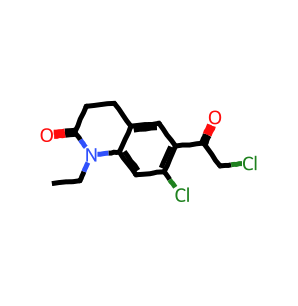 CCN1C(=O)CCc2cc(C(=O)CCl)c(Cl)cc21